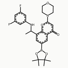 CC(Nc1cc(F)cc(F)c1)c1cc(B2OC(C)(C)C(C)(C)O2)cc2c(=O)cc(N3CCOCC3)oc12